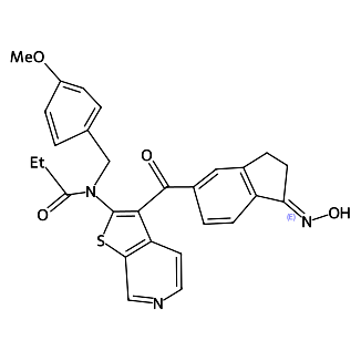 CCC(=O)N(Cc1ccc(OC)cc1)c1sc2cnccc2c1C(=O)c1ccc2c(c1)CC/C2=N\O